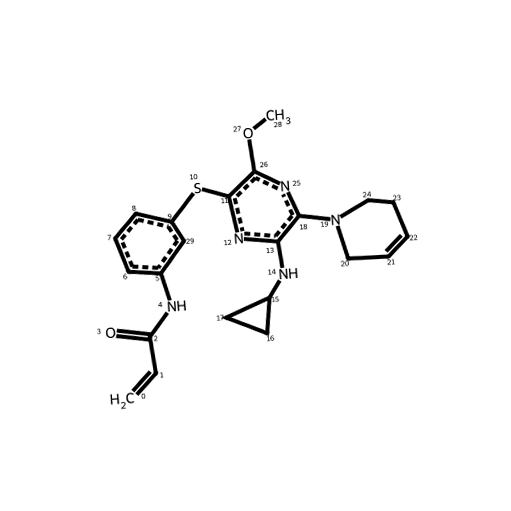 C=CC(=O)Nc1cccc(Sc2nc(NC3CC3)c(N3CC=CCC3)nc2OC)c1